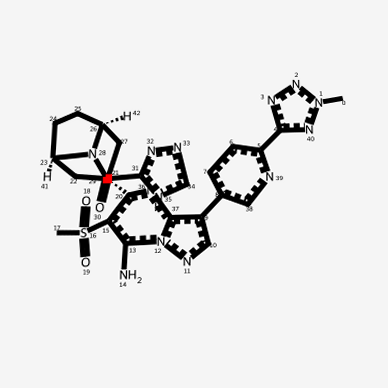 Cn1nnc(-c2ccc(-c3cnn4c(N)c(S(C)(=O)=O)c([C@@H]5C[C@H]6CC[C@@H](C5)N6C(=O)c5nnc[nH]5)nc34)cn2)n1